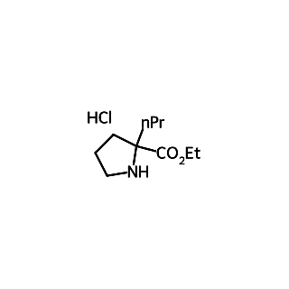 CCCC1(C(=O)OCC)CCCN1.Cl